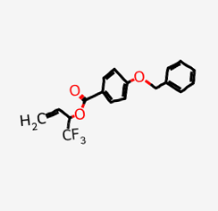 C=CC(OC(=O)c1ccc(OCc2ccccc2)cc1)C(F)(F)F